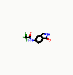 O=C1NCc2cc(NC(=O)C(F)(F)F)ccc21